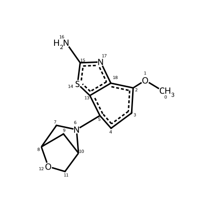 COc1ccc(N2CC3CC2CO3)c2sc(N)nc12